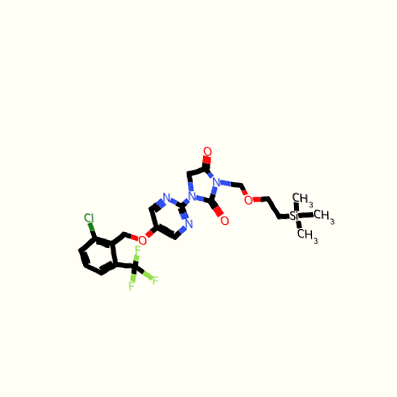 C[Si](C)(C)CCOCN1C(=O)CN(c2ncc(OCc3c(Cl)cccc3C(F)(F)F)cn2)C1=O